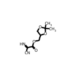 CC1(C)OCC(COC(=O)C(=N)C#N)O1